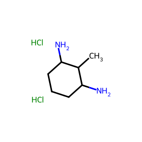 CC1C(N)CCCC1N.Cl.Cl